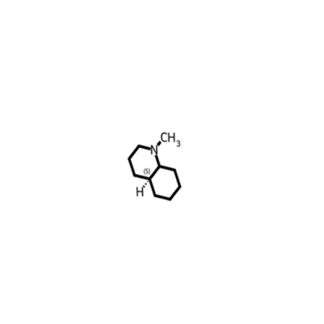 CN1CCC[C@@H]2CCCCC21